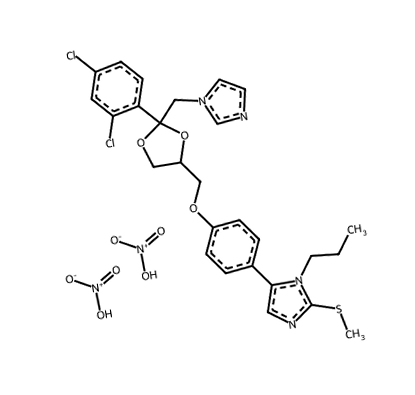 CCCn1c(-c2ccc(OCC3COC(Cn4ccnc4)(c4ccc(Cl)cc4Cl)O3)cc2)cnc1SC.O=[N+]([O-])O.O=[N+]([O-])O